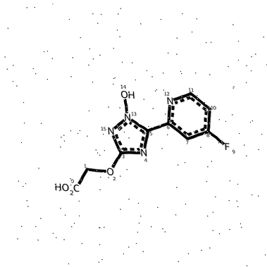 O=C(O)COc1nc(-c2cc(F)ccn2)n(O)n1